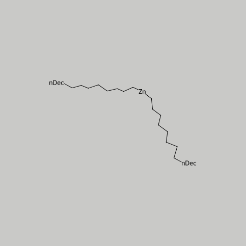 CCCCCCCCCCCCCCCCC[CH2][Zn][CH2]CCCCCCCCCCCCCCCCC